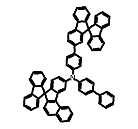 c1ccc(-c2ccc(N(c3ccc(-c4ccc5c(c4)C4(c6ccccc6-c6ccccc64)c4ccccc4-5)cc3)c3ccc4c(c3)-c3c(ccc5ccccc35)C43c4ccccc4-c4ccccc43)cc2)cc1